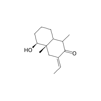 C/C=C1\C[C@@]2(C)C(CCC[C@@H]2O)C(C)C1=O